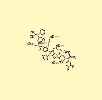 [C-]#[N+]C([N+]#[C-])=C1/C(=C/c2sc3c(sc4c5c6nsnc6c6c7sc8c(CCCCCCCCCCC)c(/C=C9\C(=O)c%10ccccc%10\C9=C(/C#N)[N+]#[C-])sc8c7n(CC(CCCCCCCCCC)CCCCCCCCCCCC)c6c5n(CC(CCCCCCCCCC)CCCCCCCCCCCC)c34)c2CCCCCCCCCCC)C(=O)c2cc(F)c(F)cc21